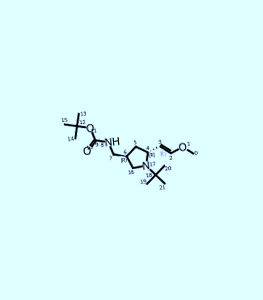 CO/C=C/[C@H]1C[C@H](CNC(=O)OC(C)(C)C)CN1C(C)(C)C